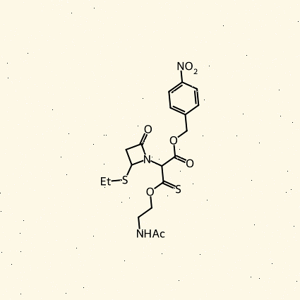 CCSC1CC(=O)N1C(C(=O)OCc1ccc([N+](=O)[O-])cc1)C(=S)OCCNC(C)=O